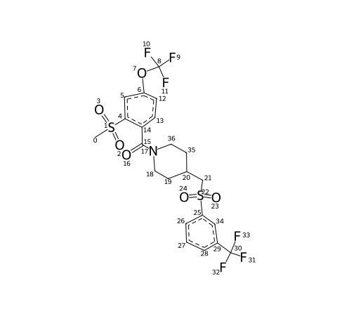 CS(=O)(=O)c1cc(OC(F)(F)F)ccc1C(=O)N1CCC(CS(=O)(=O)c2cccc(C(F)(F)F)c2)CC1